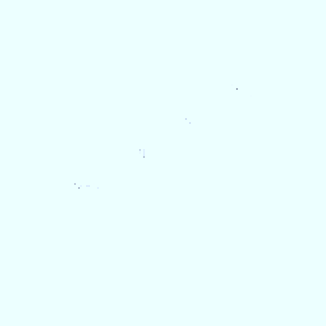 CSc1cc(C)c2ccc(N)nc2n1